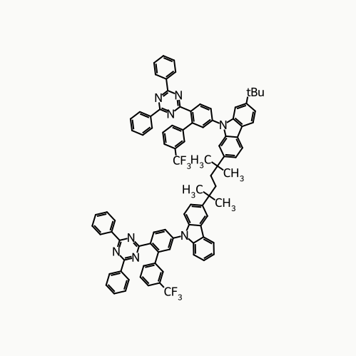 CC(C)(C)c1ccc2c3ccc(C(C)(C)CCC(C)(C)c4ccc5c(c4)c4ccccc4n5-c4ccc(-c5nc(-c6ccccc6)nc(-c6ccccc6)n5)c(-c5cccc(C(F)(F)F)c5)c4)cc3n(-c3ccc(-c4nc(-c5ccccc5)nc(-c5ccccc5)n4)c(-c4cccc(C(F)(F)F)c4)c3)c2c1